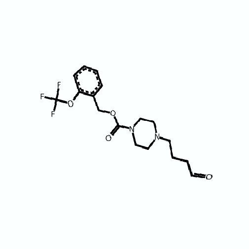 O=CCCCN1CCN(C(=O)OCc2ccccc2OC(F)(F)F)CC1